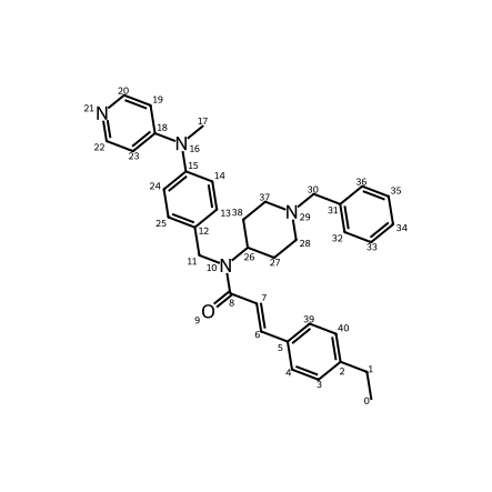 CCc1ccc(C=CC(=O)N(Cc2ccc(N(C)c3ccncc3)cc2)C2CCN(Cc3ccccc3)CC2)cc1